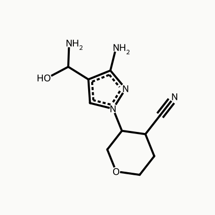 N#CC1CCOCC1n1cc(C(N)O)c(N)n1